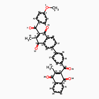 COc1ccc(C(=O)C2=C(C)C(=O)c3cc(-c4ccc(C(=O)C5=C(C)C(=O)c6ccccc6C5=O)cc4)ccc3C2=O)cc1